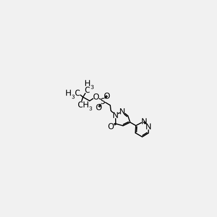 CC(C)(C)COS(=O)(=O)CCn1ncc(-c2cccnn2)cc1=O